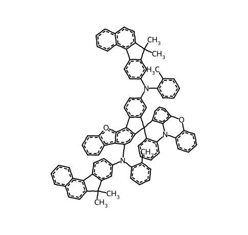 Cc1ccccc1N(c1ccc2c(c1)C(C)(C)c1ccc3ccccc3c1-2)c1ccc2c(c1)C1(c3ccccc3N3c4ccccc4Oc4cccc1c43)c1cc(N(c3ccc4c(c3)C(C)(C)c3ccc5ccccc5c3-4)c3ccccc3C)c3c(oc4ccccc43)c1-2